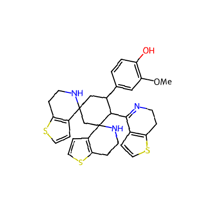 COc1cc(C2CC3(CC4(NCCc5sccc54)C2C2=NCCc4sccc42)NCCc2sccc23)ccc1O